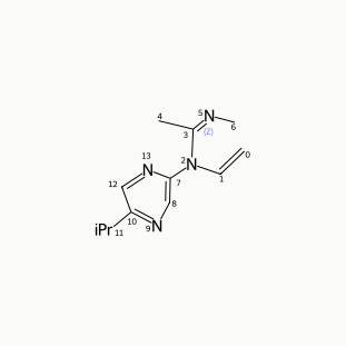 C=CN(/C(C)=N\C)c1cnc(C(C)C)cn1